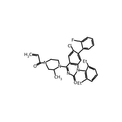 C=CC(=O)N1CCN(c2nc(=O)n(-c3c(CC)cccc3CC)c3cc(-c4ccccc4F)c(Cl)cc23)C(C)C1